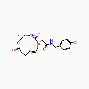 C[C@@H]1CNC(=O)[C@H](CC(=O)NCc2ccc(Cl)cc2)C/C=C/CCC(=O)O1